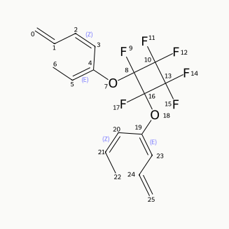 C=C/C=C\C(=C/C)OC1(F)C(F)(F)C(F)(F)C1(F)OC(/C=C\C)=C/C=C